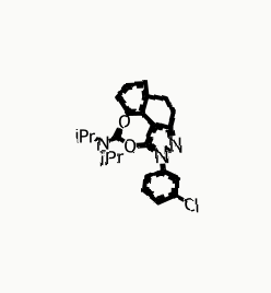 CC(C)N(C(=O)Oc1c2c(nn1-c1cccc(Cl)c1)CCc1ccccc1-2)C(C)C